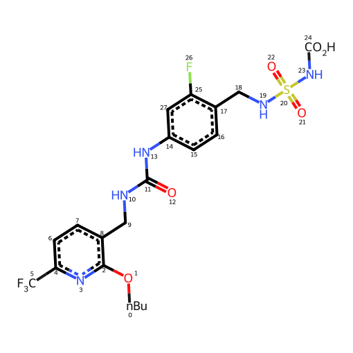 CCCCOc1nc(C(F)(F)F)ccc1CNC(=O)Nc1ccc(CNS(=O)(=O)NC(=O)O)c(F)c1